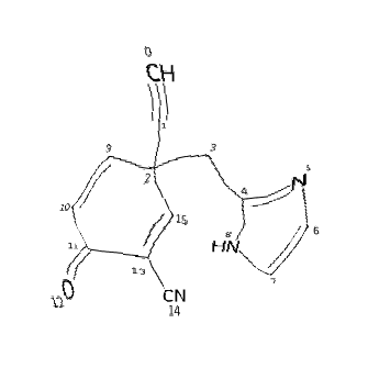 C#CC1(Cc2ncc[nH]2)C=CC(=O)C(C#N)=C1